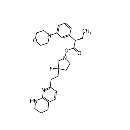 CC[C@@H](C(=O)ON1CC[C@](F)(CCc2ccc3c(n2)NCCC3)C1)c1cccc(N2CCOCC2)c1